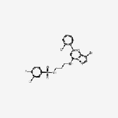 O=S(=O)(NCCCNc1cc(-c2ccccc2Cl)nc2c(Br)cnn12)c1ccc(F)c(Cl)c1